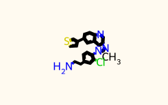 Cc1nc2cnc3ccc(-c4ccsc4)cc3c2n1-c1ccc(CCN)cc1Cl